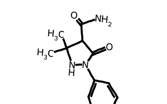 CC1(C)NN(c2ccccc2)C(=O)C1C(N)=O